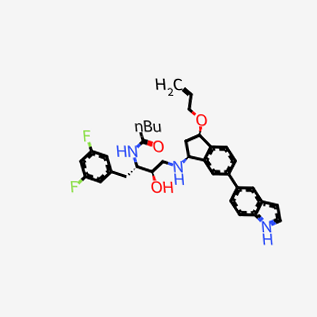 C=CCO[C@@H]1C[C@H](NC[C@@H](O)[C@H](Cc2cc(F)cc(F)c2)NC(=O)CCCC)c2cc(-c3ccc4[nH]ccc4c3)ccc21